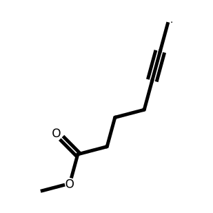 [CH2]C#CCCCC(=O)OC